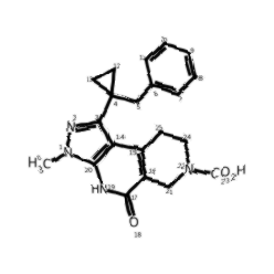 Cn1nc(C2(Cc3ccccc3)CC2)c2c3c(c(=O)[nH]c21)CN(C(=O)O)CC3